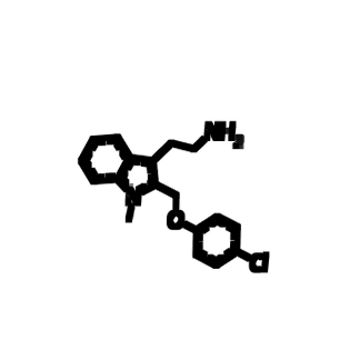 Cn1c(COc2ccc(Cl)cc2)c(CCN)c2ccccc21